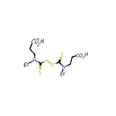 CCN(CCC(=O)O)C(=S)SSC(=S)N(CC)CCC(=O)O